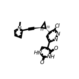 Cn1cccc1C#C[C@H]1C[C@@H]1c1cc(-c2c[nH]c(=O)[nH]c2=O)nnc1Cl